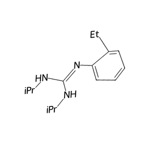 CCc1ccccc1N=C(NC(C)C)NC(C)C